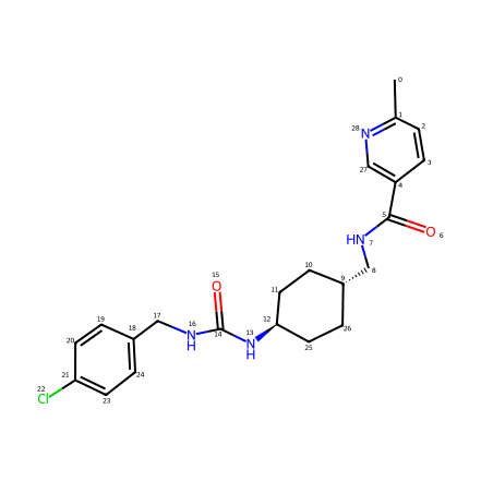 Cc1ccc(C(=O)NC[C@H]2CC[C@H](NC(=O)NCc3ccc(Cl)cc3)CC2)cn1